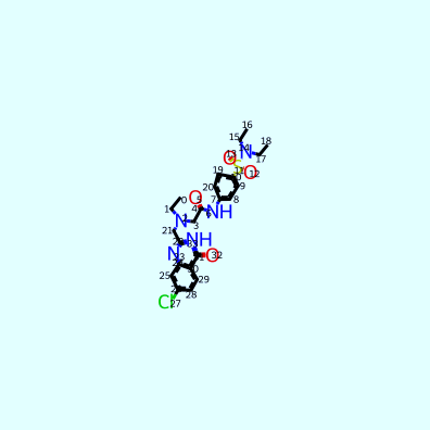 CCN(CC(=O)Nc1ccc(S(=O)(=O)N(CC)CC)cc1)Cc1nc2cc(Cl)ccc2c(=O)[nH]1